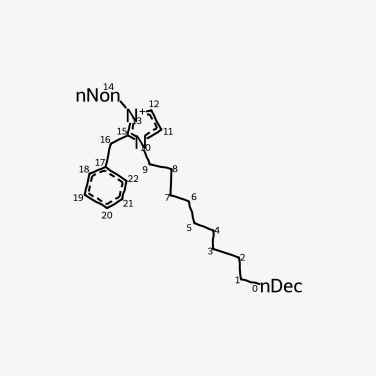 CCCCCCCCCCCCCCCCCCCn1cc[n+](CCCCCCCCC)c1Cc1ccccc1